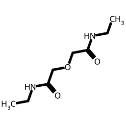 CCNC(=O)COCC(=O)NCC